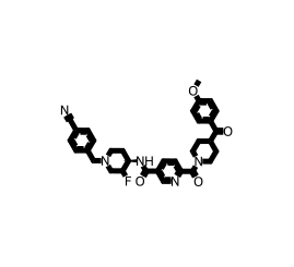 COc1ccc(C(=O)C2CCN(C(=O)c3ccc(C(=O)N[C@@H]4CCN(Cc5ccc(C#N)cc5)CC4F)cn3)CC2)cc1